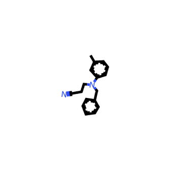 Cc1cccc(N(CCC#N)Cc2ccccc2)c1